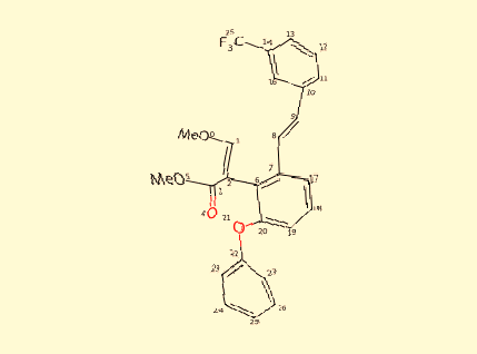 COC=C(C(=O)OC)c1c(C=Cc2cccc(C(F)(F)F)c2)cccc1Oc1ccccc1